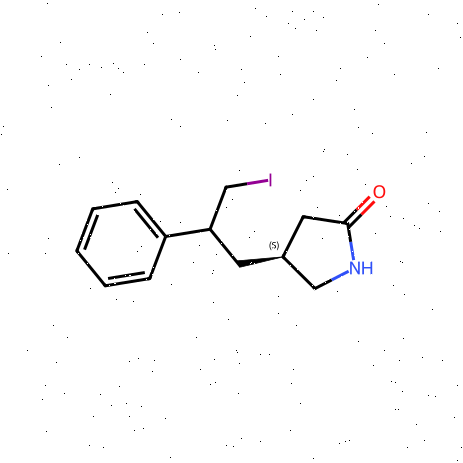 O=C1C[C@H](CC(CI)c2ccccc2)CN1